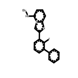 CC(C)(C)Nc1cccc2nc(-c3cccc(-c4ccccc4)c3F)cn12